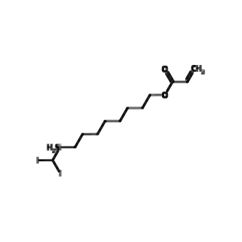 C=CC(=O)OCCCCCCCC[SiH2]C(I)I